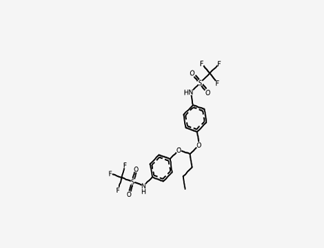 CCCC(Oc1ccc(NS(=O)(=O)C(F)(F)F)cc1)Oc1ccc(NS(=O)(=O)C(F)(F)F)cc1